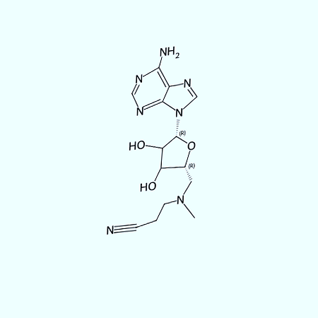 CN(CCC#N)C[C@H]1O[C@@H](n2cnc3c(N)ncnc32)C(O)C1O